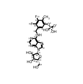 Cc1c(OP(=O)(O)O)cc(CNc2ncnc3c2ncn3[C@@H]2O[C@H](CO)[C@@H](O)[C@H]2O)c(F)c1F